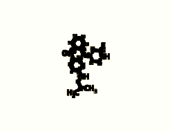 CC(C)CNc1ccc([N+](=O)[O-])c(N(c2ccccc2)N2CCNC(F)C2)n1